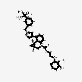 Cc1c(Cl)cccc1OCCOC(=O)N1C[C@@H]2C[C@@H]2c2c(-c3cnn(Cc4cccc(C(C)(C)O)c4)c3)cccc21